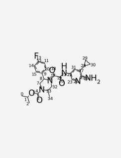 CC(C)OC(=O)N1CC(c2ccc(F)cc2)N(C(=O)C(=O)Nc2cnc(N)c(C3CC3)c2)CC1C